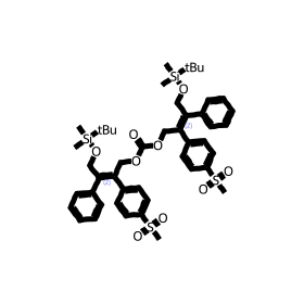 CC(C)(C)[Si](C)(C)OC/C(=C(\COC(=O)OC/C(=C(\CO[Si](C)(C)C(C)(C)C)c1ccccc1)c1ccc(S(C)(=O)=O)cc1)c1ccc(S(C)(=O)=O)cc1)c1ccccc1